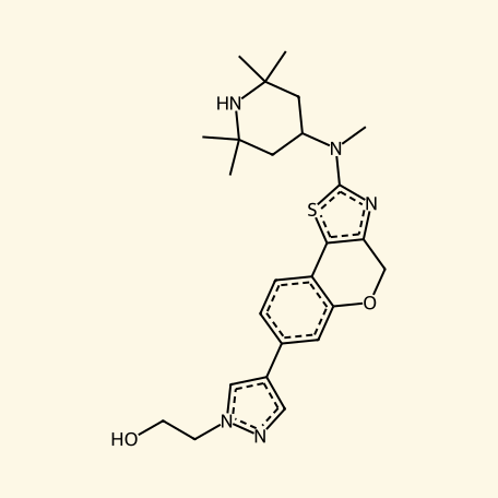 CN(c1nc2c(s1)-c1ccc(-c3cnn(CCO)c3)cc1OC2)C1CC(C)(C)NC(C)(C)C1